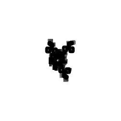 C=CC(=O)OCC(F)C1(F)C(F)C(F)(COC(=O)C=C)C(F)(F)C(F)(F)C1(F)COC(=O)C=C